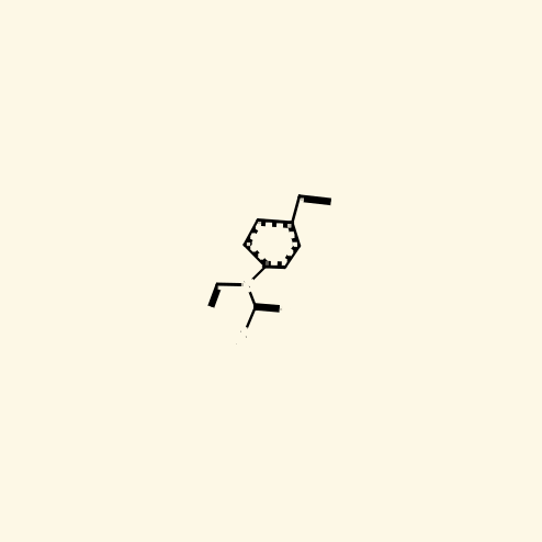 C=Cc1ccc(N(C=C)C(N)=O)cc1